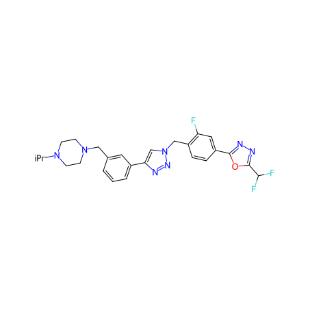 CC(C)N1CCN(Cc2cccc(-c3cn(Cc4ccc(-c5nnc(C(F)F)o5)cc4F)nn3)c2)CC1